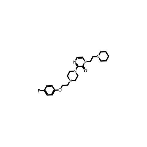 O=c1c(N2CCN(CCOc3ccc(F)cc3)CC2)nccn1CCN1CCCCC1